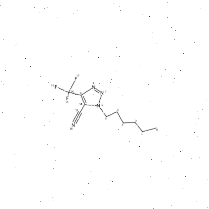 CCCCCCn1nnc(C(F)(F)F)c1C#N